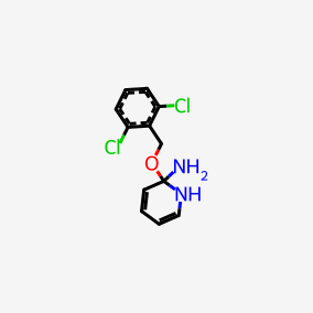 NC1(OCc2c(Cl)cccc2Cl)C=CC=CN1